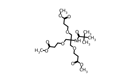 COC(=O)CCOCC(COCCC(=O)OC)(COCCC(=O)OC)NC(=O)C(C)(C)C